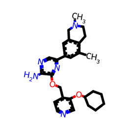 Cc1cc(-c2cnc(N)c(OCc3ccncc3OC3CCCCC3)n2)cc2c1CCN(C)C2